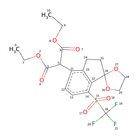 CCOC(=O)C(C(=O)OCC)c1ccc(S(=O)(=O)C(F)(F)F)c2c1CCC21OCCO1